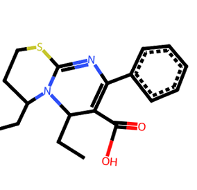 CCC1CCSC2=NC(c3ccccc3)=C(C(=O)O)C(CC)N21